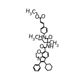 CCCCC(C)(NC(=O)c1ccc2c(C3CCCCC3)c(-c3ccccc3)n3c2c1OCC3)C(=O)NC1C=CC(/C=C/C(=O)OCC)=CC1